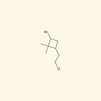 CC(=O)C1CC(CCCl)C1(C)C